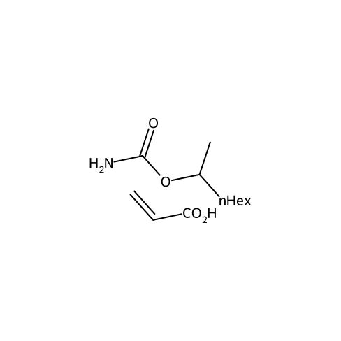 C=CC(=O)O.CCCCCCC(C)OC(N)=O